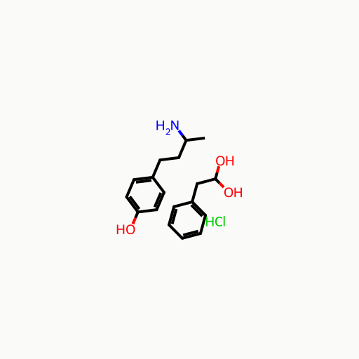 CC(N)CCc1ccc(O)cc1.Cl.OC(O)Cc1ccccc1